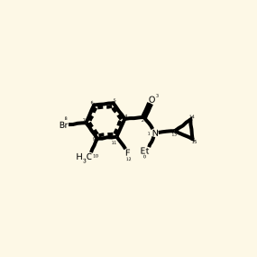 [CH2]CN(C(=O)c1ccc(Br)c(C)c1F)C1CC1